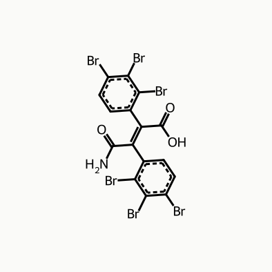 NC(=O)C(=C(C(=O)O)c1ccc(Br)c(Br)c1Br)c1ccc(Br)c(Br)c1Br